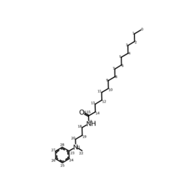 CCCCCCCCCCCCCCCC(=O)NCCCN(C)c1ccccc1